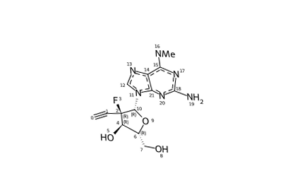 C#C[C@@]1(F)[C@H](O)[C@@H](CO)O[C@H]1n1cnc2c(NC)nc(N)nc21